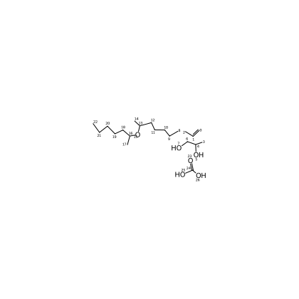 C=CC.CC(O)CO.CCCCCC(C)OC(C)CCCCC.O=C(O)O